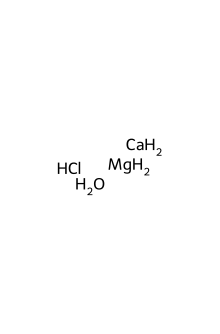 Cl.O.[CaH2].[MgH2]